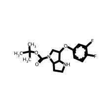 CC(C)(C)OC(=O)N1CC(Oc2ccc(F)c(F)c2)C2NCCC21